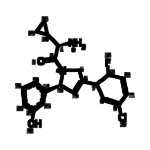 N[C@H](C(=O)N1CC(C2C=C(Cl)C=CC2F)=C[C@H]1c1cccc(O)c1)C1CC1